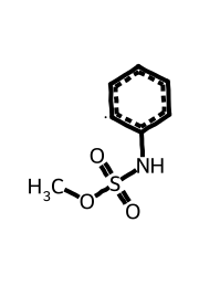 COS(=O)(=O)Nc1[c]cccc1